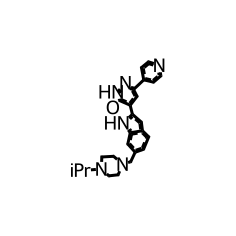 CC(C)N1CCN(Cc2ccc3cc(-c4cc(-c5ccncc5)n[nH]c4=O)[nH]c3c2)CC1